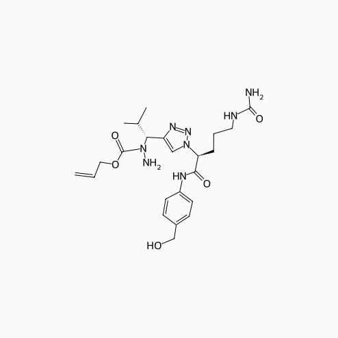 C=CCOC(=O)N(N)[C@@H](c1cn([C@@H](CCCNC(N)=O)C(=O)Nc2ccc(CO)cc2)nn1)C(C)C